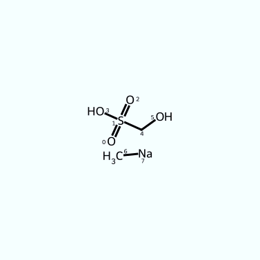 O=S(=O)(O)CO.[CH3][Na]